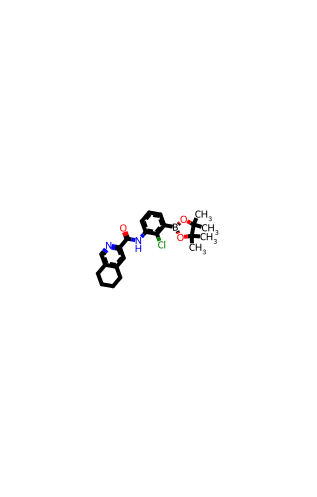 CC1(C)OB(c2cccc(NC(=O)c3cc4c(cn3)CCCC4)c2Cl)OC1(C)C